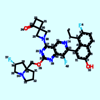 CCc1c(F)ccc2cc(O)cc(-c3ncc4c(N5CC6(CCC6=O)C5)nc(OC[C@@]56CCCN5C[C@H](F)C6)nc4c3F)c12